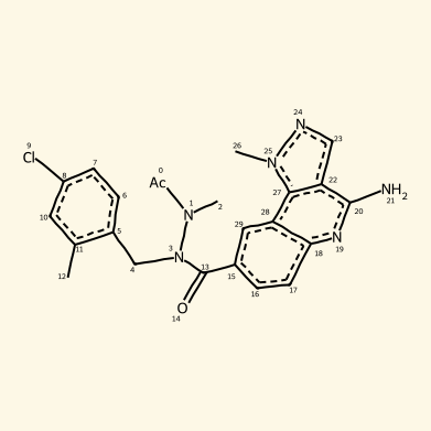 CC(=O)N(C)N(Cc1ccc(Cl)cc1C)C(=O)c1ccc2nc(N)c3cnn(C)c3c2c1